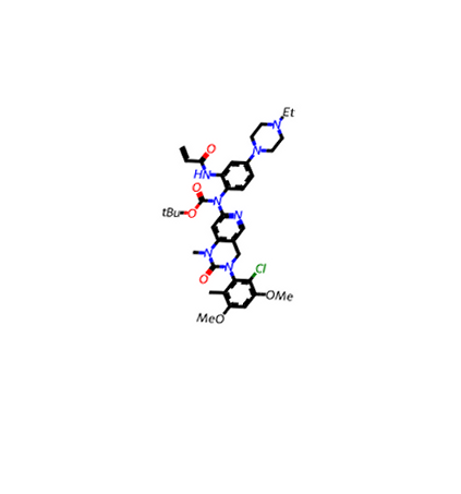 C=CC(=O)Nc1cc(N2CCN(CC)CC2)ccc1N(C(=O)OC(C)(C)C)c1cc2c(cn1)CN(c1c(C)c(OC)cc(OC)c1Cl)C(=O)N2C